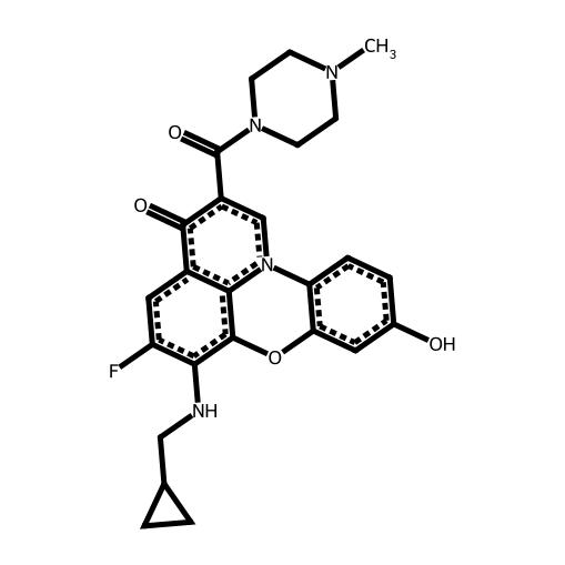 CN1CCN(C(=O)c2cn3c4c(c(NCC5CC5)c(F)cc4c2=O)Oc2cc(O)ccc2-3)CC1